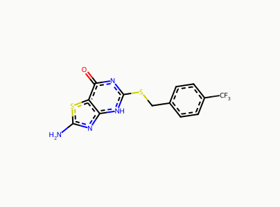 Nc1nc2[nH]c(SCc3ccc(C(F)(F)F)cc3)nc(=O)c2s1